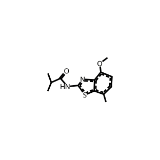 COc1ccc(C)c2sc(NC(=O)C(C)C)nc12